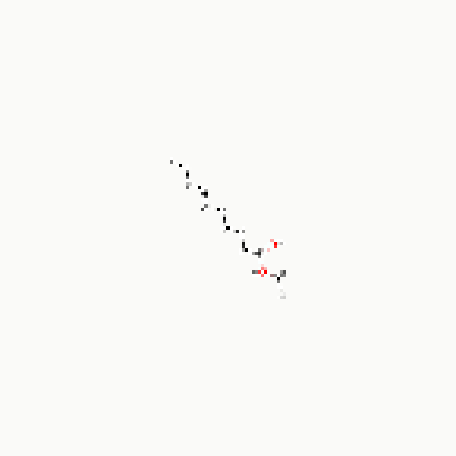 CCCC=CCCCCC(=O)OCC